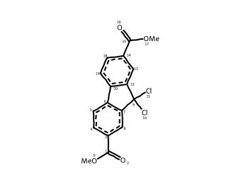 COC(=O)c1ccc2c(c1)C(Cl)(Cl)c1cc(C(=O)OC)ccc1-2